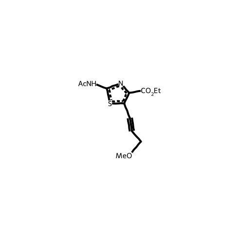 CCOC(=O)c1nc(NC(C)=O)sc1C#CCOC